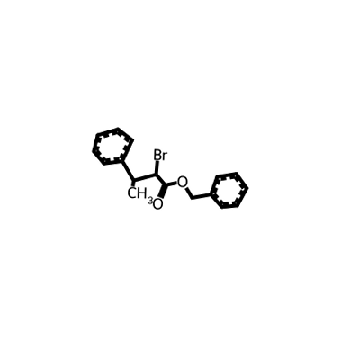 CC(c1ccccc1)C(Br)C(=O)OCc1ccccc1